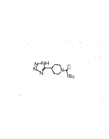 CC(C)(C)C(=O)N1CCC(c2nnn[nH]2)CC1